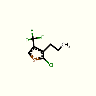 CCCc1c(C(F)(F)F)csc1Cl